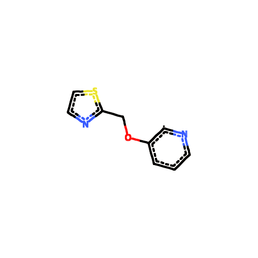 [c]1ncccc1OCc1nccs1